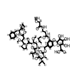 CCC(C)[C@@H]([C@@H](CC(=O)N1CCC[C@H]1[C@H](OC)[C@@H](C)C(=O)N[C@@H](Cc1ccccc1)c1nccs1)OC)N(C)C(=O)[C@@H](NC(=O)[C@H](C(C)C)N(C)C(=O)OCc1ccc(O[C@@H]2OC(C(=O)O)[C@@H](O)[C@H](O)C2O)c(NC(=O)CCNC(=O)CON)c1)C(C)C